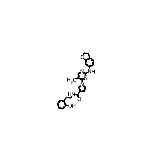 Cc1cnc(Nc2ccc3c(c2)OCC3)nc1-n1ccc(C(=O)NCCc2ccccc2O)c1